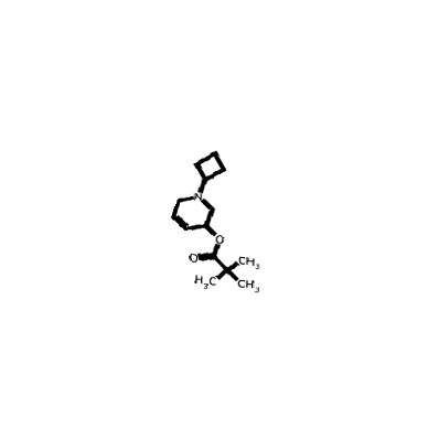 CC(C)(C)C(=O)OC1C=CCN(C2CCC2)C1